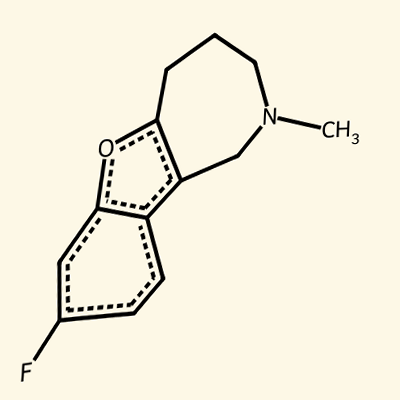 CN1CCCc2oc3cc(F)ccc3c2C1